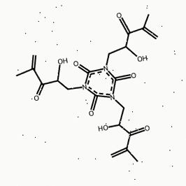 C=C(C)C(=O)C(O)Cn1c(=O)n(CC(O)C(=O)C(=C)C)c(=O)n(CC(O)C(=O)C(=C)C)c1=O